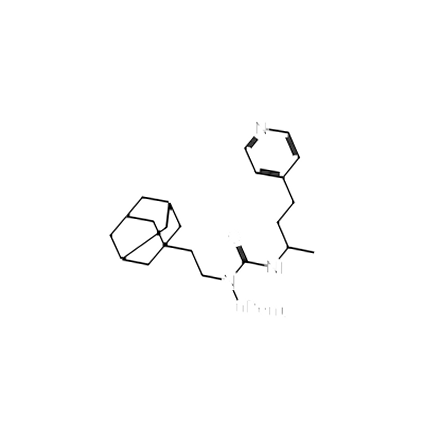 CCCCCN(CCC12CC3CC(CC(C3)C1)C2)C(=O)NC(C)CCc1ccncc1